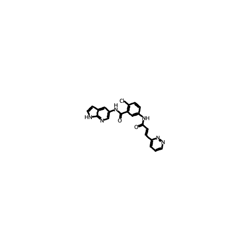 O=C(C=Cc1cccnn1)Nc1ccc(Cl)c(C(=O)Nc2cnc3[nH]ccc3c2)c1